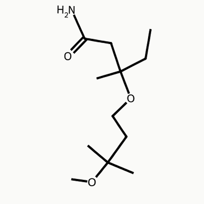 CCC(C)(CC(N)=O)OCCC(C)(C)OC